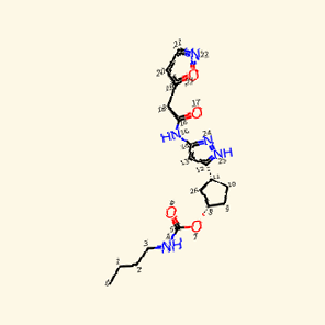 CCCCNC(=O)O[C@H]1CC[C@@H](c2cc(NC(=O)Cc3ccno3)n[nH]2)C1